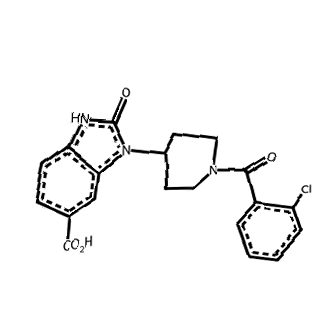 O=C(O)c1ccc2[nH]c(=O)n(C3CCN(C(=O)c4ccccc4Cl)CC3)c2c1